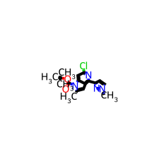 Cc1cc2c(-c3ccn(C)n3)nc(Cl)cc2n1C(=O)OC(C)(C)C